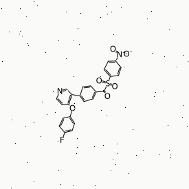 O=C(c1ccc(-c2cnccc2Oc2ccc(F)cc2)cc1)S(=O)(=O)c1ccc([N+](=O)[O-])cc1